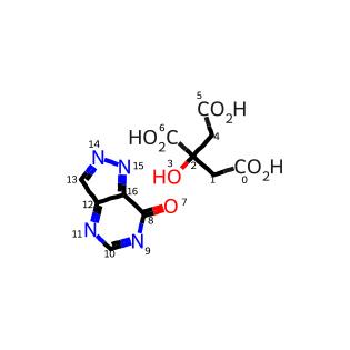 O=C(O)CC(O)(CC(=O)O)C(=O)O.O=C1N=CN=C2C=NN=C12